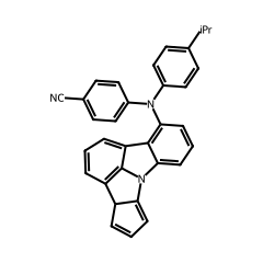 CC(C)c1ccc(N(c2ccc(C#N)cc2)c2cccc3c2c2cccc4c2n3C2=CC=CC24)cc1